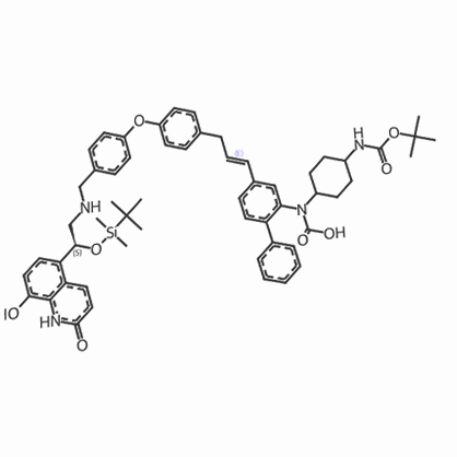 CC(C)(C)OC(=O)NC1CCC(N(C(=O)O)c2cc(/C=C/Cc3ccc(Oc4ccc(CNC[C@@H](O[Si](C)(C)C(C)(C)C)c5ccc(O)c6[nH]c(=O)ccc56)cc4)cc3)ccc2-c2ccccc2)CC1